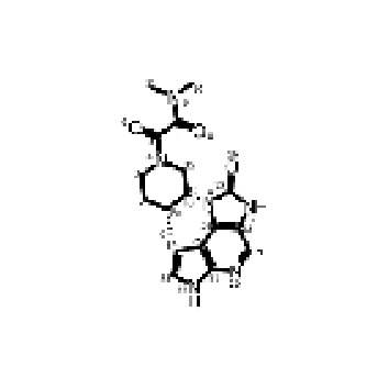 C[C@@H]1CCN(C(=O)C(=O)N(C)C)C[C@@H]1n1c(=O)[nH]c2cnc3[nH]ccc3c21